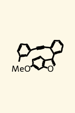 COc1ccc2c(-c3ccccc3C#Cc3cccc(C)c3)coc2c1